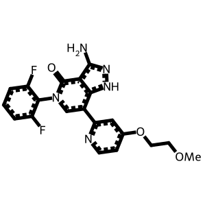 COCCOc1ccnc(-c2cn(-c3c(F)cccc3F)c(=O)c3c(N)n[nH]c23)c1